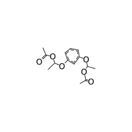 CC(=O)OC(C)Oc1cccc(OC(C)OC(C)=O)c1